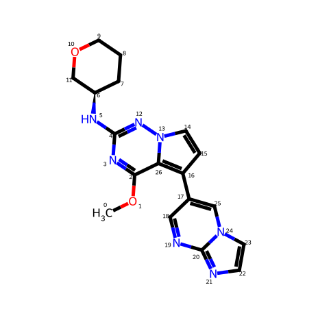 COc1nc(N[C@@H]2CCCOC2)nn2ccc(-c3cnc4nccn4c3)c12